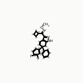 CO/N=C(/c1n[nH]c2c1C=CC(c1ccccc1)(c1ccc(F)c(F)c1)C2)C1CCC1